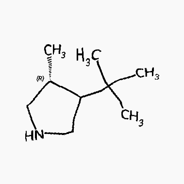 C[C@H]1CNCC1C(C)(C)C